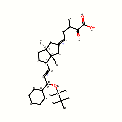 CC(C/C=C1\C[C@@H]2CC[C@H](/C=C/[C@H](O[Si](C)(C)C(C)(C)C)C3CCCCC3)[C@H]2C1)C(=O)C(=O)O